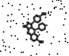 Oc1ccc(-c2n[nH]c3nc4ccc(O)cc4c(-c4ccccc4)c23)cc1